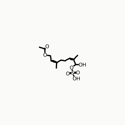 CC(=O)OCC=C(C)CCC=C(C)C(O)OS(=O)(=O)O